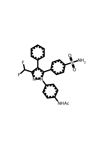 CC(=O)Nc1ccc(-n2nc(C(F)F)c(-c3ccccc3)c2-c2ccc(S(N)(=O)=O)cc2)cc1